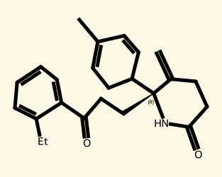 C=C1CCC(=O)N[C@]1(CCC(=O)c1ccccc1CC)C1C=CC(C)=CC1